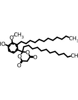 CCCCCCCCCCCCc1c(C2(CCCCCCCCCCCC)OC(=O)CC(=O)O2)ccc(O)c1OC